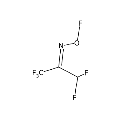 FON=C(C(F)F)C(F)(F)F